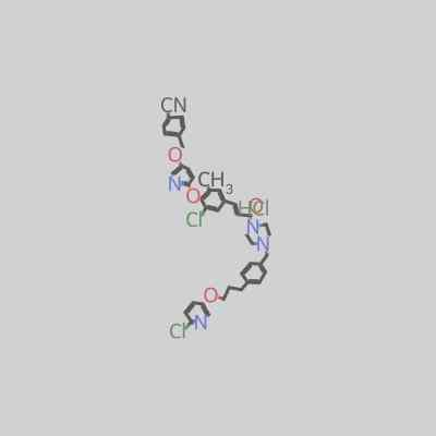 Cc1cc(C=CC(=O)N2CCN(Cc3ccc(CCCOc4ccc(Cl)nc4)cc3)CC2)cc(Cl)c1Oc1ccc(OCc2ccc(C#N)cc2)cn1.Cl